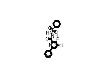 O=C(NNS(=O)(=O)C1CCCCC1)c1nc(-c2ccccc2)cc(Cl)c1F